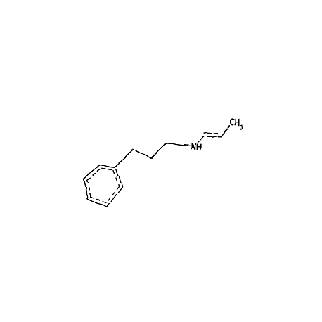 CC=CNCCCc1ccccc1